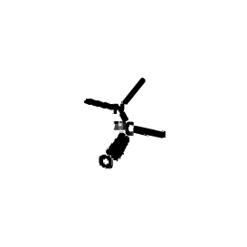 C[13C](=O)N(C)C